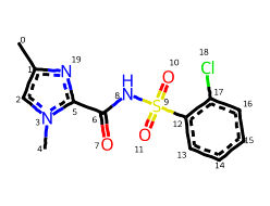 Cc1cn(C)c(C(=O)NS(=O)(=O)c2ccccc2Cl)n1